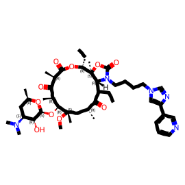 CCC1C(=O)[C@H](C)C[C@](C)(OC)[C@H](O[C@@H]2O[C@H](C)C[C@H](N(C)C)[C@H]2O)[C@@H](C)C(=O)[C@@H](C)C(=O)O[C@H](CC)[C@@]2(C)OC(=O)N(CCCCn3cnc(-c4cccnc4)c3)[C@H]12